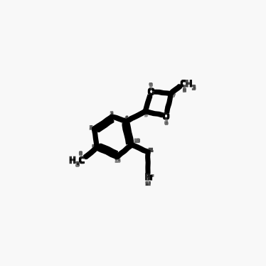 Cc1ccc(C2OC(C)O2)c(CBr)c1